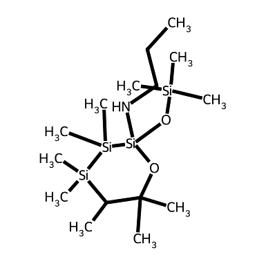 CCCN[Si]1(O[Si](C)(C)C)OC(C)(C)C(C)[Si](C)(C)[Si]1(C)C